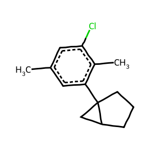 Cc1cc(Cl)c(C)c(C23CCCC2C3)c1